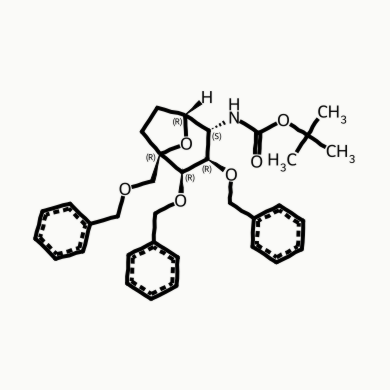 CC(C)(C)OC(=O)N[C@@H]1[C@@H](OCc2ccccc2)[C@@H](OCc2ccccc2)[C@]2(COCc3ccccc3)CC[C@H]1O2